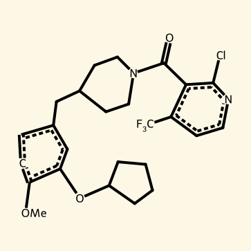 COc1ccc(CC2CCN(C(=O)c3c(C(F)(F)F)ccnc3Cl)CC2)cc1OC1CCCC1